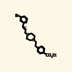 CCOC(=O)c1ccc(CCN2CCN(C/C=C/c3cccc(Br)c3)CC2)cc1